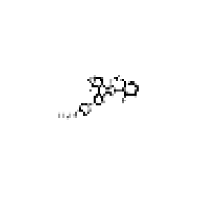 Nc1ccc(-c2ccc3c(c2)c2c(=O)[nH]ccc2c2[nH]c(-c4c(F)cccc4Cl)nc32)cn1